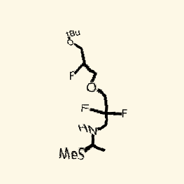 CSC(C)NCC(F)(F)COCC(F)COC(C)(C)C